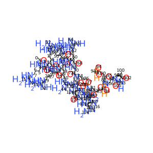 CC(=O)NC(CCCNC(=N)N)C(=O)NC(CCCNC(=N)N)C(=O)NC(CCCNC(=N)N)C(=O)NC(CCCNC(=N)N)C(=O)NC(CCCNC(=N)N)C(=O)NC(CCCNC(=N)N)C(=O)NCC(=O)N1CC(CO[PH](=O)N2CC(CO[PH](=O)N3CC(CO[PH](C)=O)OC(n4cc(C)c(=O)[nH]c4=O)C3)OC(n3cnc4c(N)ncnc43)C2)OC(n2cnc3c(=O)[nH]c(N)nc32)C1